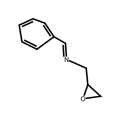 C(=NCC1CO1)c1ccccc1